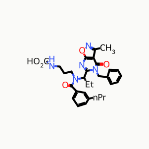 CCCc1cccc(C(=O)N(CCCNC(=O)O)C(CC)c2nc3onc(C)c3c(=O)n2Cc2ccccc2)c1